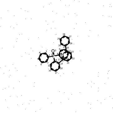 O=P(c1ccccc1)(c1ccccc1)c1ccccc1-c1cccc(-c2ccccc2)n1